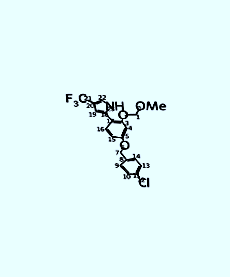 COCOc1cc(OCc2ccc(Cl)cc2)ccc1-c1cc(C(F)(F)F)c[nH]1